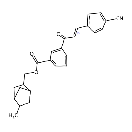 CC1CC2CC1CC2COC(=O)c1cccc(C(=O)/C=C/c2ccc(C#N)cc2)c1